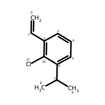 C=Cc1cccc([C](C)C)c1Cl